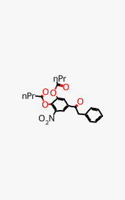 CCCC(=O)Oc1cc(C(=O)Cc2ccccc2)cc([N+](=O)[O-])c1OC(=O)CCC